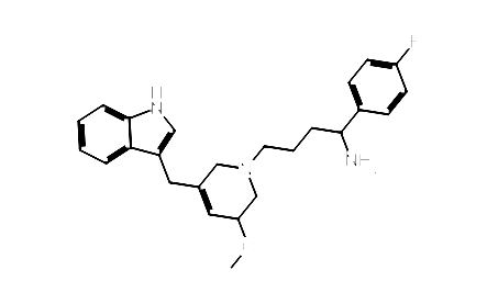 COC1C=C(Cc2c[nH]c3ccccc23)CN(CCCC(N)c2ccc(F)cc2)C1